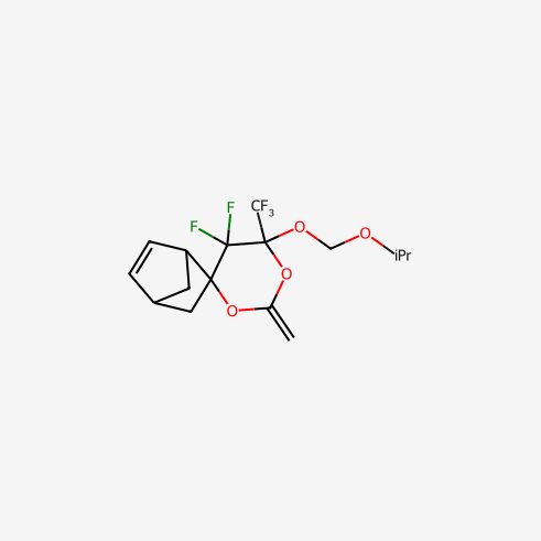 C=C1OC2(CC3C=CC2C3)C(F)(F)C(OCOC(C)C)(C(F)(F)F)O1